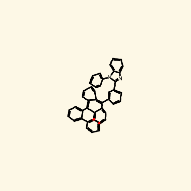 c1ccc(-c2ccccc2-c2c3ccccc3c(-c3cccc(-c4nc5ccccc5n4-c4ccccc4)c3)c3ccccc23)cc1